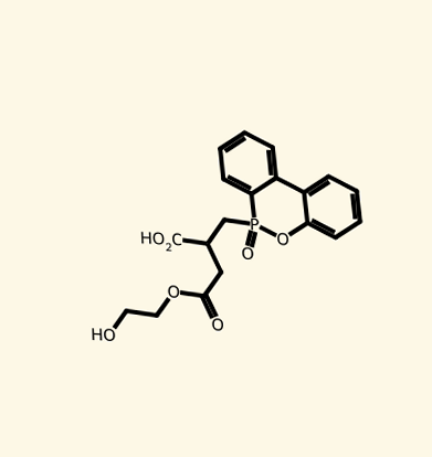 O=C(CC(CP1(=O)Oc2ccccc2-c2ccccc21)C(=O)O)OCCO